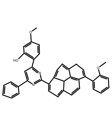 COc1ccc(-c2cc(-c3ccccc3)nc(C3=CC=C4C=CC5=C6C(=CC=C3C46)CC=C5c3ccccc3OC)n2)c(O)c1